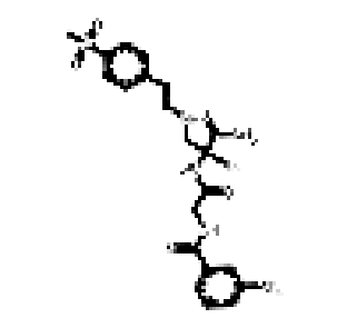 CC(C)(C)C(CNCCc1ccc(S(C)(=O)=O)cc1)(NC(=O)CNC(=O)c1cccc(C(F)(F)F)c1)C(N)=O